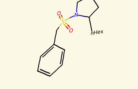 CCCCCCC1CCCN1S(=O)(=O)Cc1ccccc1